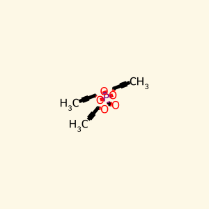 CC#CCOC(=O)P(=O)(OCC#CC)OCC#CC